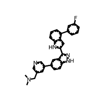 CN(C)Cc1cncc(-c2ccc3[nH]nc(-c4cc5c(-c6cccc(F)c6)cccc5[nH]4)c3c2)c1